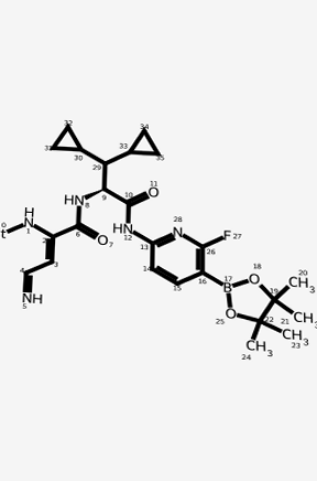 CCN/C(=C\C=N)C(=O)N[C@H](C(=O)Nc1ccc(B2OC(C)(C)C(C)(C)O2)c(F)n1)C(C1CC1)C1CC1